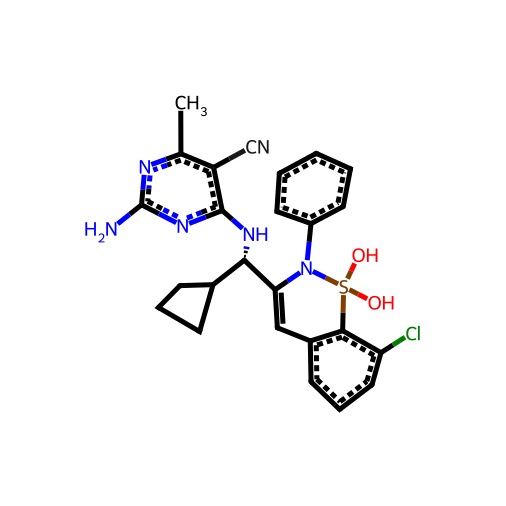 Cc1nc(N)nc(N[C@H](C2=Cc3cccc(Cl)c3S(O)(O)N2c2ccccc2)C2CCC2)c1C#N